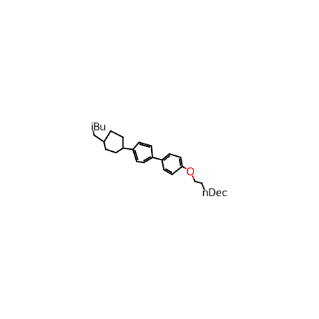 CCCCCCCCCCCCOc1ccc(-c2ccc(C3CCC(CC(C)CC)CC3)cc2)cc1